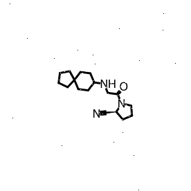 N#C[C@@H]1CCCN1C(=O)CNC1CCC2(CCCC2)CC1